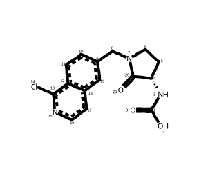 O=C(O)N[C@H]1CCN(Cc2ccc3c(Cl)nccc3c2)C1=O